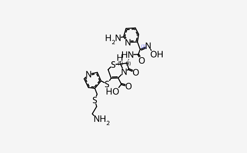 NCCSCc1ccncc1SC1=C(C(=O)O)N2C(=O)[C@@H](NC(=O)/C(=N\O)c3cccc(N)n3)[C@@H]2SC1